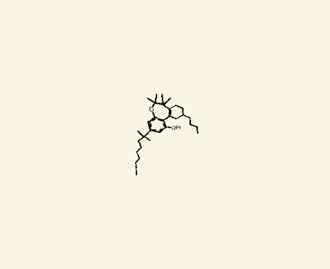 CCCCCCC(C)(C)c1cc(O)c2c(c1)OC(C)(C)C(C)(C)C1=C2CC(CCCC)CC1